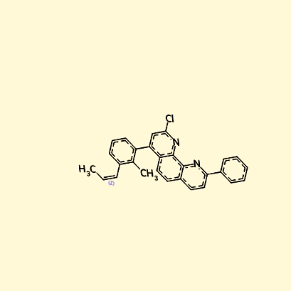 C/C=C\c1cccc(-c2cc(Cl)nc3c2ccc2ccc(-c4ccccc4)nc23)c1C